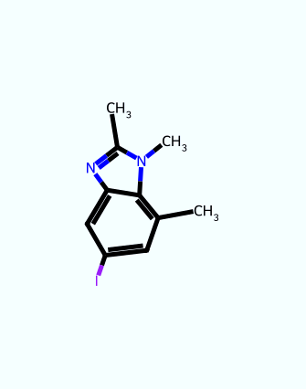 Cc1cc(I)cc2nc(C)n(C)c12